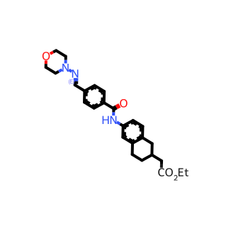 CCOC(=O)CC1CCc2cc(NC(=O)c3ccc(/C=N/N4CCOCC4)cc3)ccc2C1